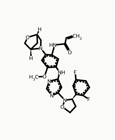 C=CC(=O)Nc1cc(Nc2cc(N3OCC[C@@H]3c3cc(F)ccc3F)ncn2)c(OC)cc1N1C[C@@H]2C[C@H]1CO2